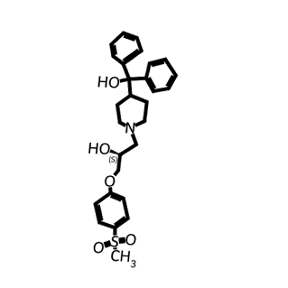 CS(=O)(=O)c1ccc(OC[C@@H](O)CN2CCC(C(O)(c3ccccc3)c3ccccc3)CC2)cc1